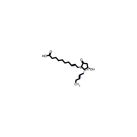 CC/C=C/C[C@H]1[C@H](O)CC(=O)[C@@H]1C/C=C/CCCCCCC(=O)O